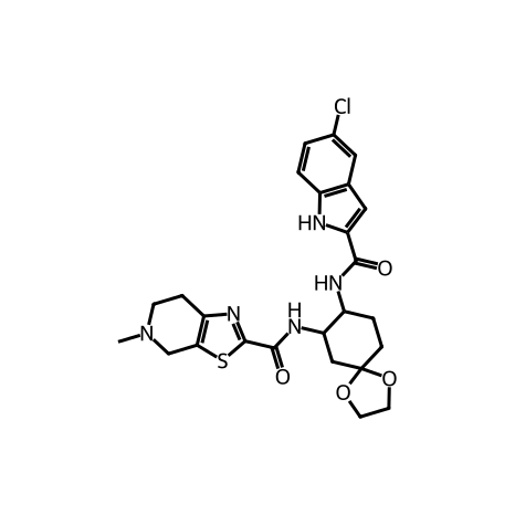 CN1CCc2nc(C(=O)NC3CC4(CCC3NC(=O)c3cc5cc(Cl)ccc5[nH]3)OCCO4)sc2C1